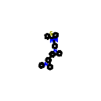 c1ccc(-n2c3ccccc3c3cc(-c4ccc5c(c4)c4ccccc4n5-c4ccc(-c5nc6c7c(cccc7n5)Sc5ccccc5-6)cc4)ccc32)cc1